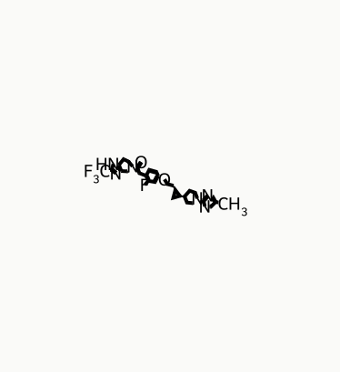 Cc1cnc(N2CCC([C@H]3C[C@H]3CCOc3ccc(CC(=O)N4CCc5[nH]c(C(F)(F)F)nc5C4)c(F)c3)CC2)nc1